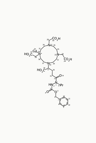 CC(C)N(NC(=O)OCc1ccccc1)C(=O)CCC(C(=O)O)N1CCN(CC(=O)O)CCN(CC(=O)O)CC[N+]([Gd])(CC(=O)O)CC1